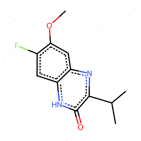 COc1cc2nc(C(C)C)c(=O)[nH]c2cc1F